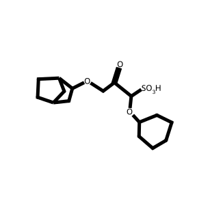 O=C(COC1CC2CCC1C2)C(OC1CCCCC1)S(=O)(=O)O